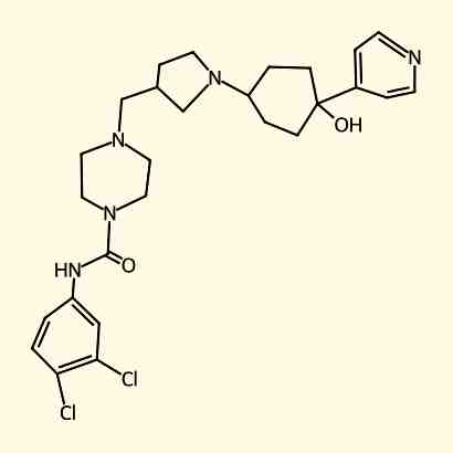 O=C(Nc1ccc(Cl)c(Cl)c1)N1CCN(CC2CCN(C3CCC(O)(c4ccncc4)CC3)C2)CC1